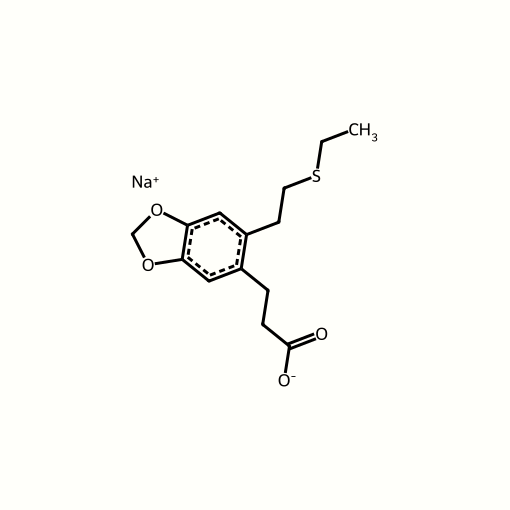 CCSCCc1cc2c(cc1CCC(=O)[O-])OCO2.[Na+]